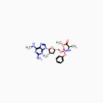 CNc1nc(N)nc2c1ncn2[C@@H]1O[C@H](COP(=S)(N[C@H](C)C(=O)OC)Oc2ccccc2)C[C@@H]1C